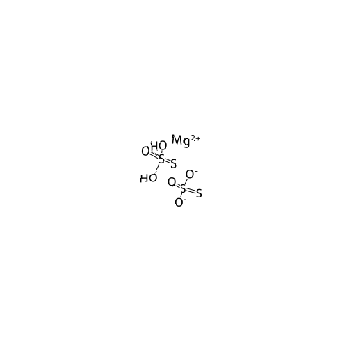 O=S(O)(O)=S.O=S([O-])([O-])=S.[Mg+2]